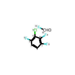 Fc1ccc(F)c(Cl)c1F.O=CF